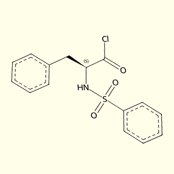 O=C(Cl)[C@H](Cc1ccccc1)NS(=O)(=O)c1ccccc1